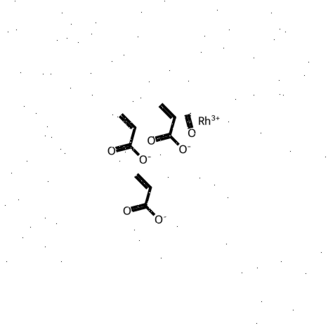 C=CC(=O)[O-].C=CC(=O)[O-].C=CC(=O)[O-].[C]=O.[Rh+3]